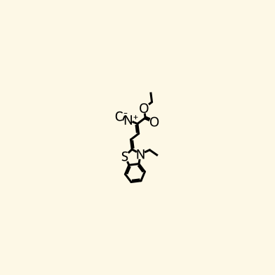 [C-]#[N+]C(=CC=C1Sc2ccccc2N1CC)C(=O)OCC